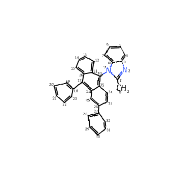 Cc1nc2ccccc2n1-c1c2ccccc2c(-c2ccccc2)c2cc(-c3ccccc3)ccc12